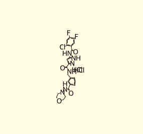 Cl.Cl.O=C(NN1CCOCC1)c1cccc(CNC(=O)c2cc(NC(=O)c3cc(F)c(F)cc3Cl)[nH]n2)c1